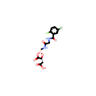 O=C(O)C[C@H]1OB(CNC(=O)CNC(=O)c2cc(Cl)ccc2F)OC1=O